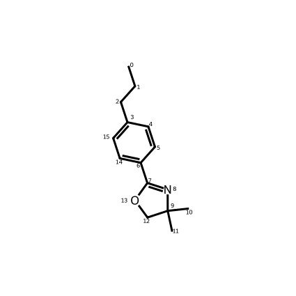 CCCc1ccc(C2=NC(C)(C)CO2)cc1